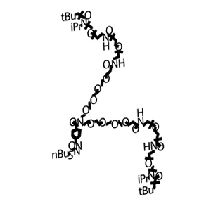 CCCCSc1nnc(-c2ccc(C(=O)N(CCOCCOCCOCCOCCC(=O)NCCC(C)(C)OCCC(C)(C)C(=O)NCCC(C)(C)OCC(C)(C)N(C(=O)C(C)(C)CC(C)(C)C)C(C)C)CCOCCOCCOCCOCCC(=O)NCCC(C)(C)OCCC(C)(C)C(=O)NCCC(C)(C)OCC(C)(C)N(C(=O)C(C)(C)CC(C)(C)C)C(C)C)cc2)o1